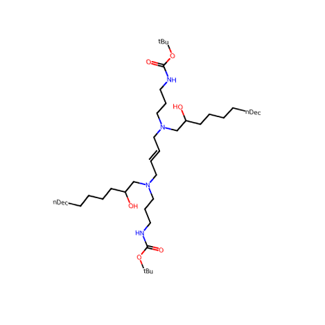 CCCCCCCCCCCCCCC(O)CN(C/C=C/CN(CCCNC(=O)OC(C)(C)C)CC(O)CCCCCCCCCCCCCC)CCCNC(=O)OC(C)(C)C